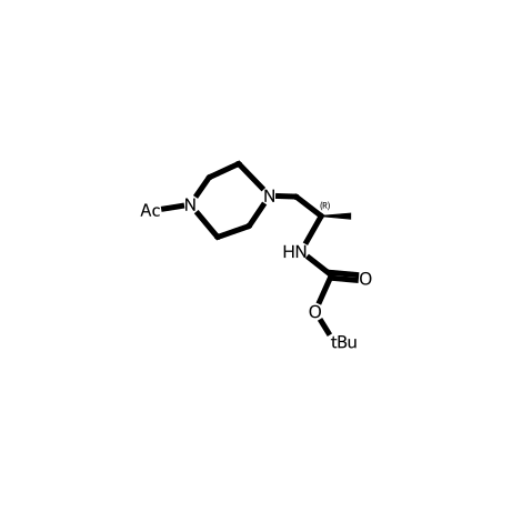 CC(=O)N1CCN(C[C@@H](C)NC(=O)OC(C)(C)C)CC1